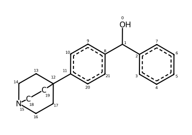 OC(c1ccccc1)c1ccc(C23CCN(CC2)CC3)cc1